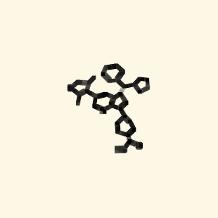 Cc1coc(C)c1-c1cnc2c(c1)C([C@H](c1ccccc1)C1CCCC1)C=C2c1ccc(C(=O)O)cc1